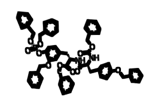 O=C(N[C@@H](Cc1ccc(OCc2ccccc2)cc1)C(=O)N[C@@H](Cc1ccc(OP(=O)(OCc2ccccc2)OCc2ccccc2)c(OCc2ccccc2)c1)C(=O)OCc1ccccc1)OCc1ccccc1